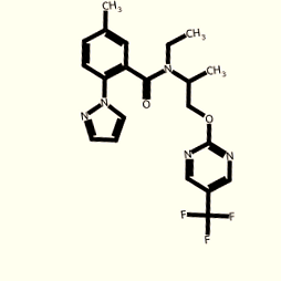 CCN(C(=O)c1cc(C)ccc1-n1cccn1)C(C)COc1ncc(C(F)(F)F)cn1